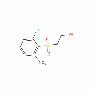 O=[N+]([O-])c1cccc(Cl)c1S(=O)(=O)CCO